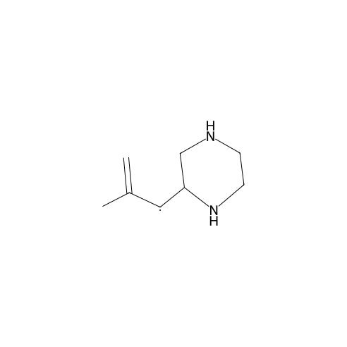 C=C(C)[CH]C1CNCCN1